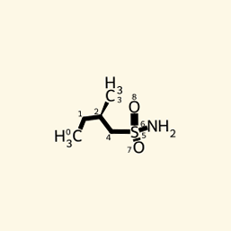 CC[C@@H](C)CS(N)(=O)=O